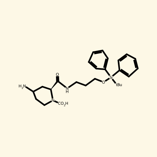 CC(C)(C)[Si](OCCCNC(=O)[C@@H]1CC(N)CCN1C(=O)O)(c1ccccc1)c1ccccc1